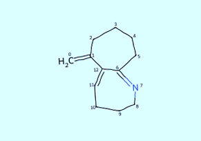 C=C1CCCCC2=NCCCC=C12